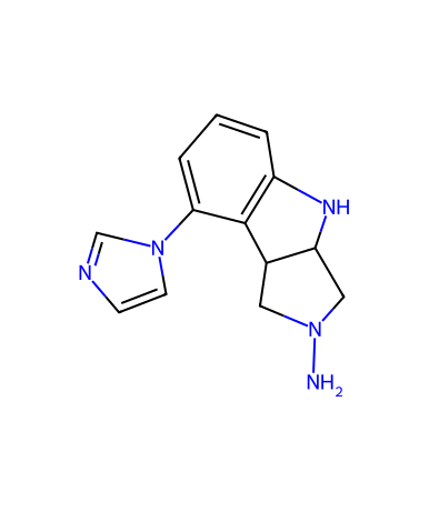 NN1CC2Nc3cccc(-n4ccnc4)c3C2C1